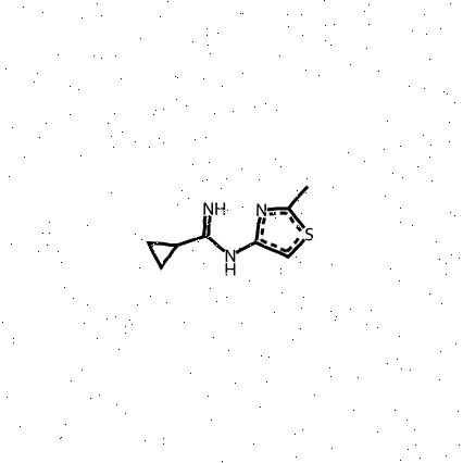 Cc1nc(NC(=N)C2CC2)cs1